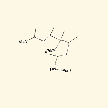 CCCC(C)NC(C)CC(C)C(C)(C(C)CCC)C(C)CC(C)NC